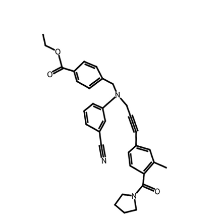 CCOC(=O)c1ccc(CN(CC#Cc2ccc(C(=O)N3CCCC3)c(C)c2)c2cccc(C#N)c2)cc1